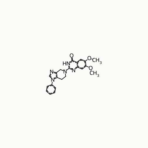 COc1cc2nc(N3CCc4c(ncn4-c4ccccc4)C3)[nH]c(=O)c2cc1OC